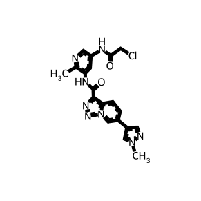 Cc1ncc(NC(=O)CCl)cc1NC(=O)c1nnn2cc(-c3cnn(C)c3)ccc12